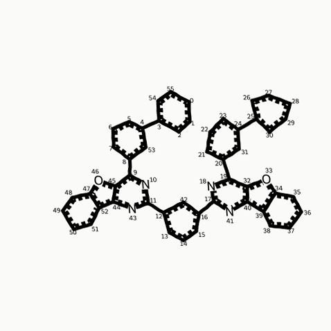 c1ccc(-c2cccc(-c3nc(-c4cccc(-c5nc(-c6cccc(-c7ccccc7)c6)c6oc7ccccc7c6n5)c4)nc4c3oc3ccccc34)c2)cc1